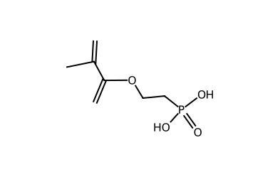 C=C(C)C(=C)OCCP(=O)(O)O